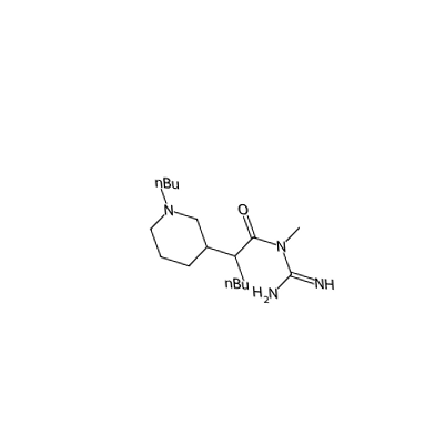 CCCCC(C(=O)N(C)C(=N)N)C1CCCN(CCCC)C1